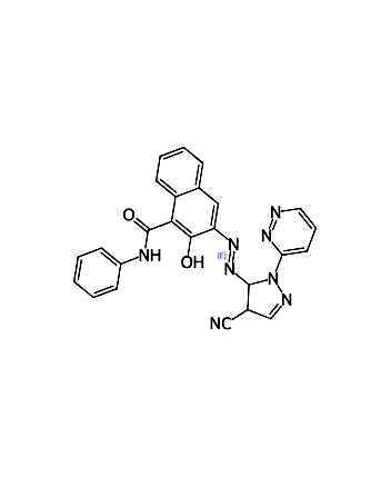 N#CC1C=NN(c2cccnn2)C1/N=N/c1cc2ccccc2c(C(=O)Nc2ccccc2)c1O